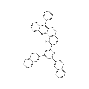 C1=CC(c2cc(C3=Cc4ccccc4CC3)cc(-c3ccc4ccccc4c3)n2)Nc2c1ccc1c(-c3ccccc3)c3ccccc3nc21